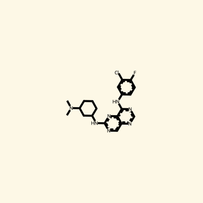 CN(C)C1CCCC(Nc2ncc3ncnc(Nc4ccc(F)c(Cl)c4)c3n2)C1